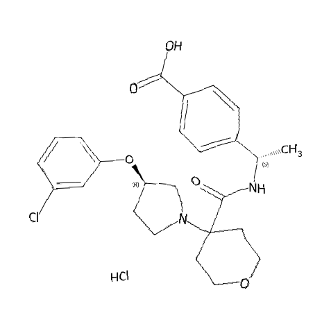 C[C@H](NC(=O)C1(N2CC[C@@H](Oc3cccc(Cl)c3)C2)CCOCC1)c1ccc(C(=O)O)cc1.Cl